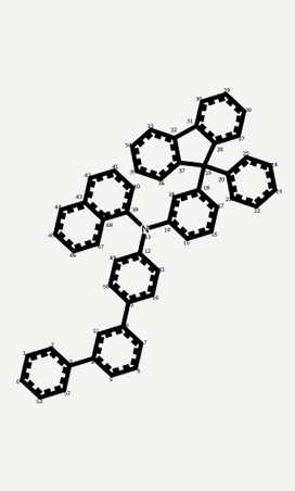 c1ccc(-c2cccc(-c3ccc(N(c4cccc(C5(c6ccccc6)c6ccccc6-c6ccccc65)c4)c4cccc5ccccc45)cc3)c2)cc1